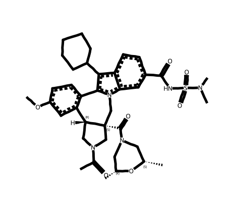 COc1ccc2c(c1)[C@H]1CN(C(C)=O)C[C@]1(C(=O)N1C[C@@H](C)O[C@@H](C)C1)Cn1c-2c(C2CCCCC2)c2ccc(C(=O)NS(=O)(=O)N(C)C)cc21